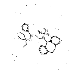 [2H]C([2H])([2H])N(CC[C@H](O[Si](CC)(CC)CC)c1cccs1)C1c2ccccc2CCc2ccccc21